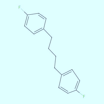 Fc1ccc(CCCCc2ccc(F)cc2)cc1